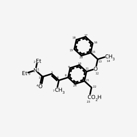 CCN(CC)C(=O)/C=C(\C)c1ccc(OC(C)c2ccccc2)c(CC(=O)O)c1